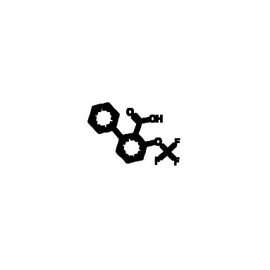 O=C(O)c1c(OC(F)(F)F)cccc1-c1ccccc1